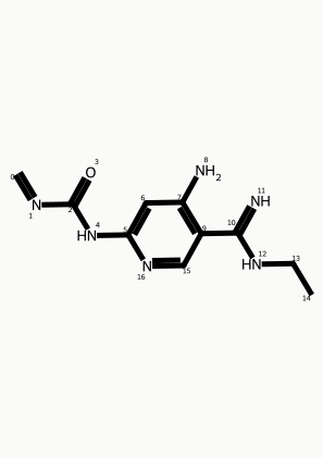 C=NC(=O)Nc1cc(N)c(C(=N)NCC)cn1